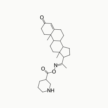 CC(=NOC(=O)C1CCCNC1)C1CCC2C3CCC4=CC(=O)CCC4(C)C3CCC12C